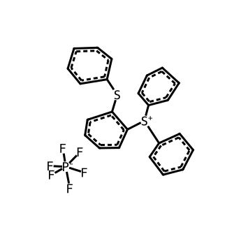 F[P-](F)(F)(F)(F)F.c1ccc(Sc2ccccc2[S+](c2ccccc2)c2ccccc2)cc1